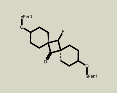 CCCCCOC1CC[C@]2(CC1)C(=O)[C@@]1(CCC(OCCCCC)CC1)C2F